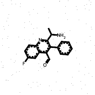 CC(N)c1nc2ccc(F)cc2c(C=O)c1-c1ccccc1